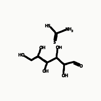 NC(=S)S.O=CC(O)C(O)C(O)C(O)CO